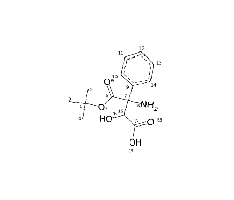 CC(C)(C)OC(=O)C(N)(c1ccccc1)C(O)C(=O)O